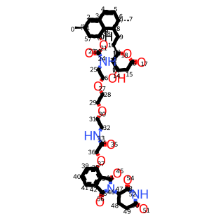 C[C@H]1C=C2C=C[C@H](C)C(CC[C@@H]3C[C@@H](O)CC(=O)O3)[C@H]2[C@@H](OC(=O)NCCOCCOCCNC(=O)COc2cccc3c2C(=O)N(C2CCC(=O)NC2=O)C3=O)C1